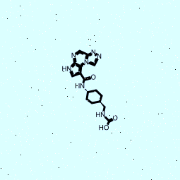 O=C(O)NC[C@H]1CC[C@H](NC(=O)c2c[nH]c3ncc4nncn4c23)CC1